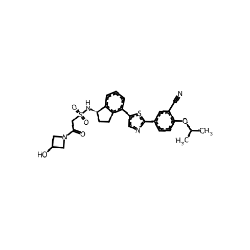 CC(C)Oc1ccc(-c2ncc(-c3cccc4c3CC[C@H]4NS(=O)(=O)CC(=O)N3CC(O)C3)s2)cc1C#N